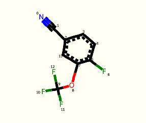 N#Cc1ccc(F)c(OC(F)(F)F)c1